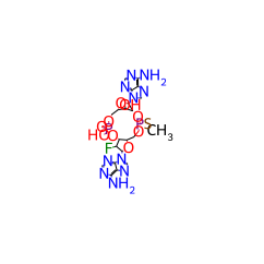 CSP1OCC2OC(n3cnc4c(N)ncnc43)C(F)C2OP(=O)(O)OCC2OC(n3cnc4c(N)ncnc43)C(O1)C2O